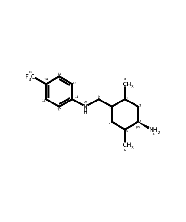 CC1C[C@@H](N)C(C)CC1CNc1ccc(C(F)(F)F)cc1